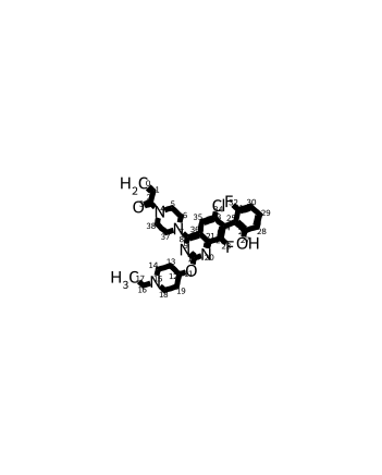 C=CC(=O)N1CCN(c2nc(OC3CCN(CC)CC3)nc3c(F)c(-c4c(O)cccc4F)c(Cl)cc23)CC1